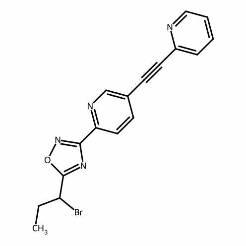 CCC(Br)c1nc(-c2ccc(C#Cc3ccccn3)cn2)no1